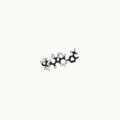 C#C[C@@](C)(CO)NC(=O)C(=O)c1c(C)c(C(=O)Nc2ccc(F)c(C(F)(F)F)c2)n(C)c1C